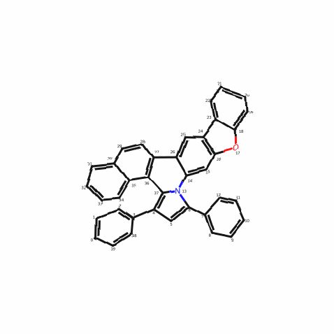 c1ccc(-c2cc(-c3ccccc3)n3c4cc5oc6ccccc6c5cc4c4ccc5ccccc5c4c23)cc1